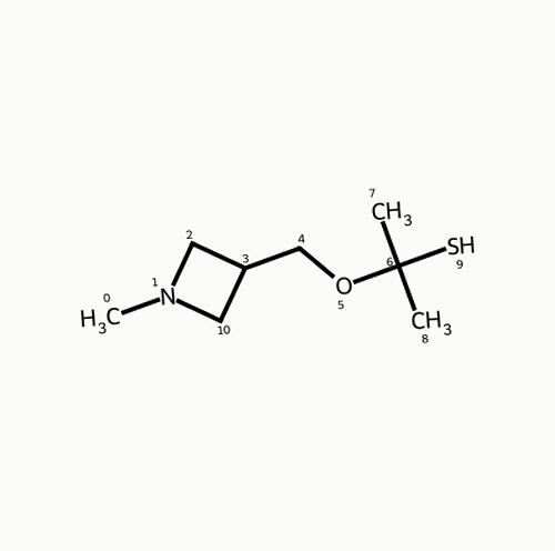 CN1CC(COC(C)(C)S)C1